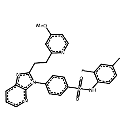 COc1ccnc(CCc2nc3cccnc3n2-c2ccc(S(=O)(=O)Nc3ccc(C)cc3F)cc2)c1